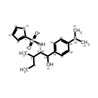 CCC(C)[C@H](NS(=O)(=O)c1cccs1)C(O)c1ccc(N(C)C)cc1